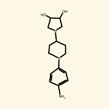 Nc1ccc(N2CCC(N3CC(O)C(O)C3)CC2)cc1